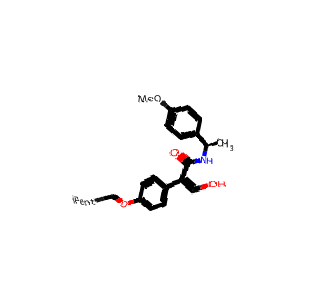 CCCC(C)COc1ccc(C(=CO)C(=O)N[C@H](C)c2ccc(OC)cc2)cc1